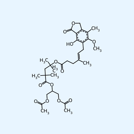 COc1c(C)c2c(c(O)c1C/C=C(\C)CCC(=O)OC(C)(C)CC(C)(C)C(=O)OC(COC(C)=O)COC(C)=O)C(=O)OC2